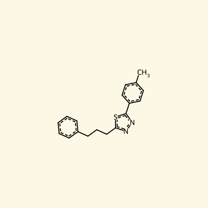 Cc1ccc(-c2nnc(CCCc3ccccc3)s2)cc1